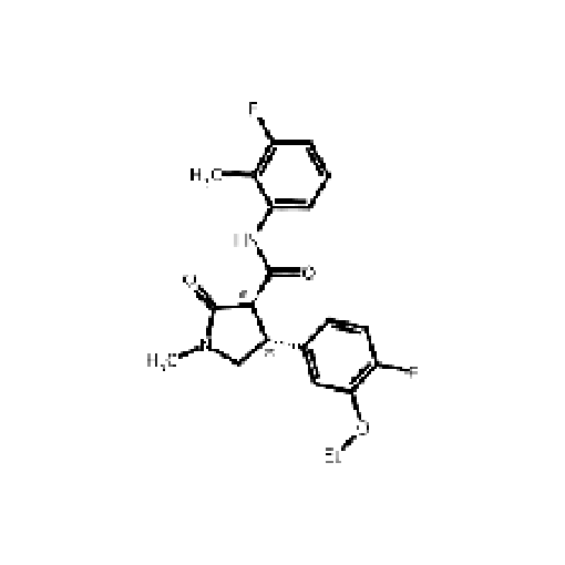 CCOc1cc([C@@H]2CN(C)C(=O)[C@H]2C(=O)Nc2cccc(F)c2C)ccc1F